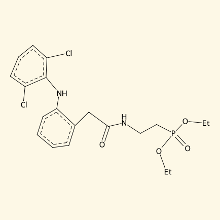 CCOP(=O)(CCNC(=O)Cc1ccccc1Nc1c(Cl)cccc1Cl)OCC